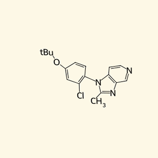 Cc1nc2cnccc2n1-c1ccc(OC(C)(C)C)cc1Cl